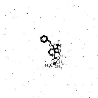 CC(C)(C)OC(=O)N1CCCC(COCc2ccccc2)(C(=O)C(F)(F)F)C1CN